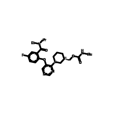 CCN(C(=O)c1cc(F)ccc1Oc1cncnc1N1CCC[C@H](COC(=O)NC(C)(C)C)C1)C(C)C